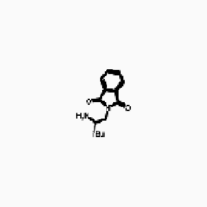 CCCC[C@@H](N)CN1C(=O)c2ccccc2C1=O